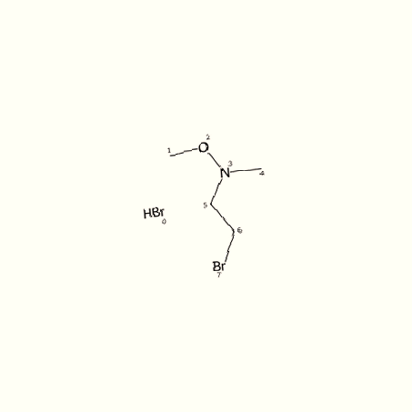 Br.CON(C)CCBr